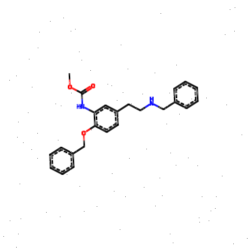 COC(=O)Nc1cc(CCNCc2ccccc2)ccc1OCc1ccccc1